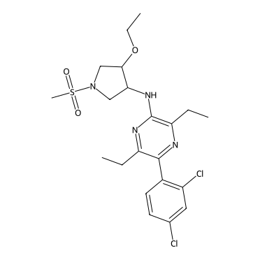 CCOC1CN(S(C)(=O)=O)CC1Nc1nc(CC)c(-c2ccc(Cl)cc2Cl)nc1CC